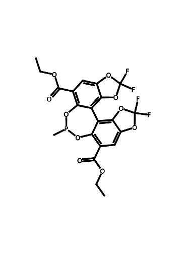 CCOC(=O)c1cc2c(c3c1op(C)oc1c(C(=O)OCC)cc4c(c13)OC(F)(F)O4)OC(F)(F)O2